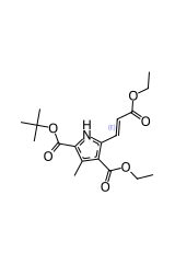 CCOC(=O)/C=C/c1[nH]c(C(=O)OC(C)(C)C)c(C)c1C(=O)OCC